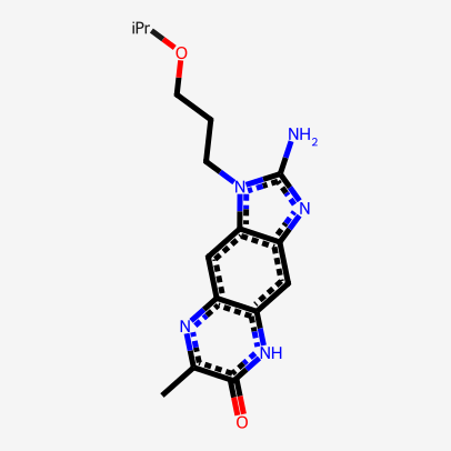 Cc1nc2cc3c(cc2[nH]c1=O)nc(N)n3CCCOC(C)C